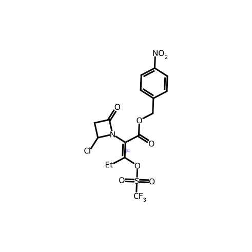 CC/C(OS(=O)(=O)C(F)(F)F)=C(/C(=O)OCc1ccc([N+](=O)[O-])cc1)N1C(=O)CC1Cl